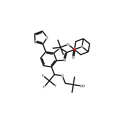 CC(C)(O)COC(c1ccc(-c2nccs2)c2oc(N3CC4CC(C3)N4C(=O)OC(C)(C)C)nc12)C(F)(F)F